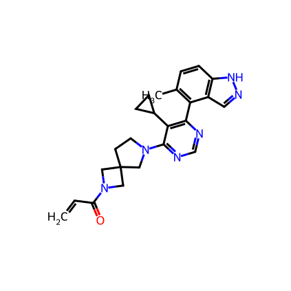 C=CC(=O)N1CC2(CCN(c3ncnc(-c4c(C)ccc5[nH]ncc45)c3C3CC3)C2)C1